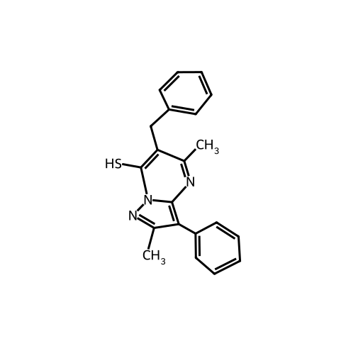 Cc1nc2c(-c3ccccc3)c(C)nn2c(S)c1Cc1ccccc1